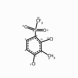 Cc1c(Cl)ccc(S(=O)(=O)C(F)(F)F)c1Cl